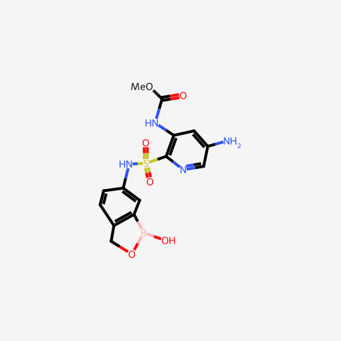 COC(=O)Nc1cc(N)cnc1S(=O)(=O)Nc1ccc2c(c1)B(O)OC2